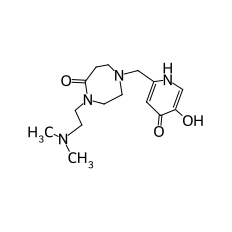 CN(C)CCN1CCN(Cc2cc(=O)c(O)c[nH]2)CCC1=O